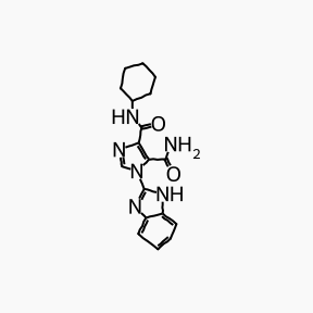 NC(=O)c1c(C(=O)NC2CCCCC2)ncn1-c1nc2ccccc2[nH]1